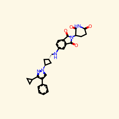 O=C1CCC(N2C(=O)c3ccc(NC[C@H]4C[C@H](n5cc(-c6ccccc6)c(C6CC6)n5)C4)cc3C2=O)C(=O)N1